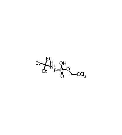 CCC(N)(CC)CC.O=P(O)(F)OCC(Cl)(Cl)Cl